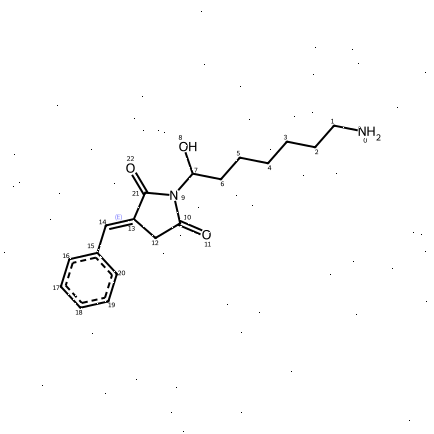 NCCCCCCC(O)N1C(=O)C/C(=C\c2ccccc2)C1=O